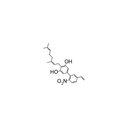 C=Cc1ccc([N+](=O)[O-])c(-c2cc(O)c(CC=C(C)CCC=C(C)C)c(O)c2)c1